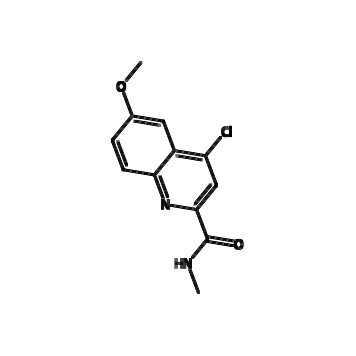 CNC(=O)c1cc(Cl)c2cc(OC)ccc2n1